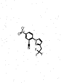 N#Cc1cc([N+](=O)[O-])ccc1-n1ccc(CC(F)(F)F)n1